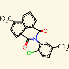 O=C(O)c1ccc(Cl)c(N2C(=O)c3cccc4c(C(=O)O)ccc(c34)C2=O)c1